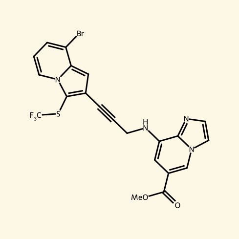 COC(=O)c1cc(NCC#Cc2cc3c(Br)cccn3c2SC(F)(F)F)c2nccn2c1